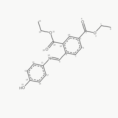 CCOC(=O)c1ccc(C=Nc2ccc(O)cc2)c(C(=O)OCC)c1